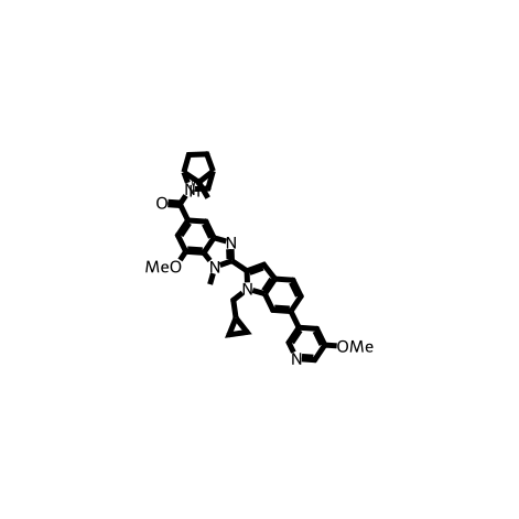 COc1cncc(-c2ccc3cc(-c4nc5cc(C(=O)N6CC7CCC6[C@@H]7C)cc(OC)c5n4C)n(CC4CC4)c3c2)c1